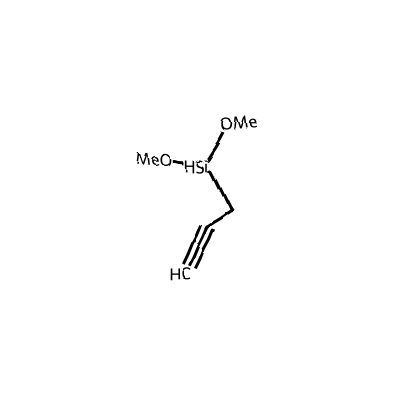 C#CC[SiH](OC)OC